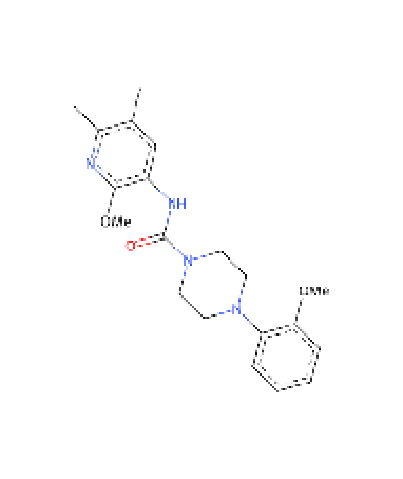 COc1ccccc1N1CCN(C(=O)Nc2cc(C)c(C)nc2OC)CC1